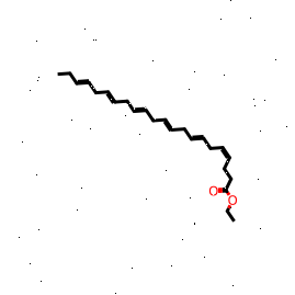 CCC=CCC=CCC=CCC=CCC=CC/C=C\CCC(=O)OCC